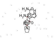 NC(=O)c1ccc(N2C3CCC2CC(NC(=O)c2ccc(C(N)=O)c4[nH]ccc24)C3)nc1